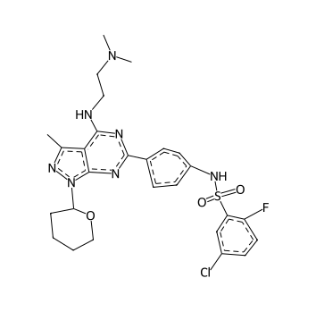 Cc1nn(C2CCCCO2)c2nc(-c3ccc(NS(=O)(=O)c4cc(Cl)ccc4F)cc3)nc(NCCN(C)C)c12